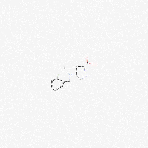 CN(Cc1ccccc1F)[C@@H]1CN[C@H](C(=O)O)C1